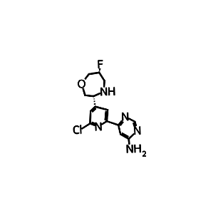 Nc1cc(-c2cc([C@@H]3COC[C@H](F)CN3)cc(Cl)n2)ncn1